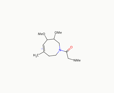 CNCC(=O)N1CC/C(C)=C\C(OC)C(OC)C1